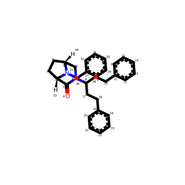 O=C1[C@@H]2CC[C@H](CN1C(CCc1ccccc1)CCc1ccccc1)N2Cc1ccccc1